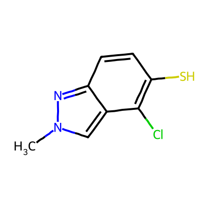 Cn1cc2c(Cl)c(S)ccc2n1